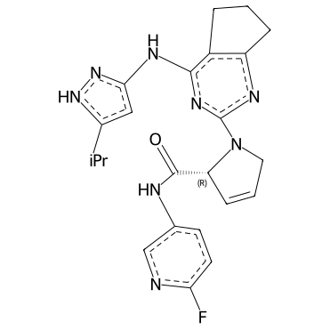 CC(C)c1cc(Nc2nc(N3CC=C[C@@H]3C(=O)Nc3ccc(F)nc3)nc3c2CCC3)n[nH]1